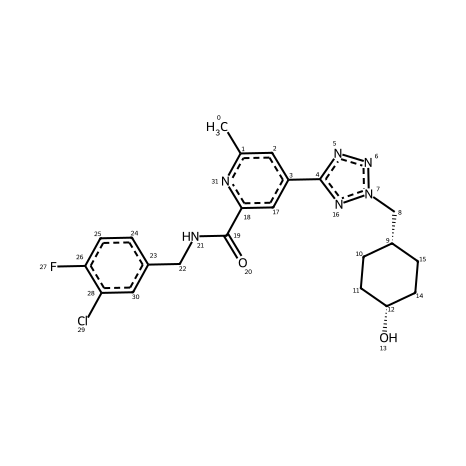 Cc1cc(-c2nnn(C[C@H]3CC[C@@H](O)CC3)n2)cc(C(=O)NCc2ccc(F)c(Cl)c2)n1